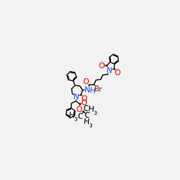 CC(C)(C)OC(=O)C(Cc1ccccc1)N1CCC(c2ccccc2)CC(NC(=O)C(Br)CCCCN2C(=O)c3ccccc3C2=O)C1=O